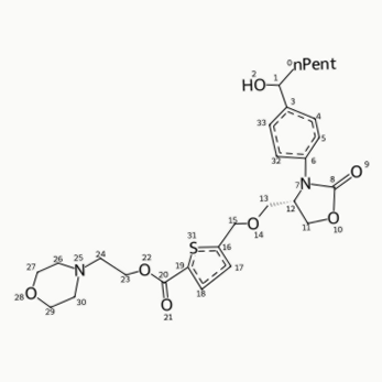 CCCCCC(O)c1ccc(N2C(=O)OC[C@@H]2COCc2ccc(C(=O)OCCN3CCOCC3)s2)cc1